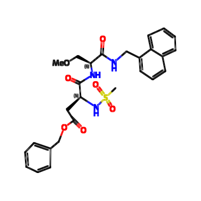 COC[C@H](NC(=O)[C@H](CC(=O)OCc1ccccc1)NS(C)(=O)=O)C(=O)NCc1cccc2ccccc12